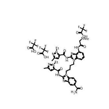 CCn1nc(C)cc1C(=O)Nc1nc2cc(C(N)=O)ccc2n1CCCCn1c(NC(=O)c2cc(C)nn2CC)nc2c(NC(=O)CNC)cccc21.O=C(O)C(F)(F)F.O=C(O)C(F)(F)F.O=C(O)C(F)(F)F